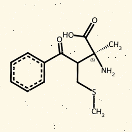 CSCC(C(=O)c1ccccc1)[C@](C)(N)C(=O)O